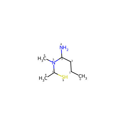 CCCC(N)N(C)C(C)S